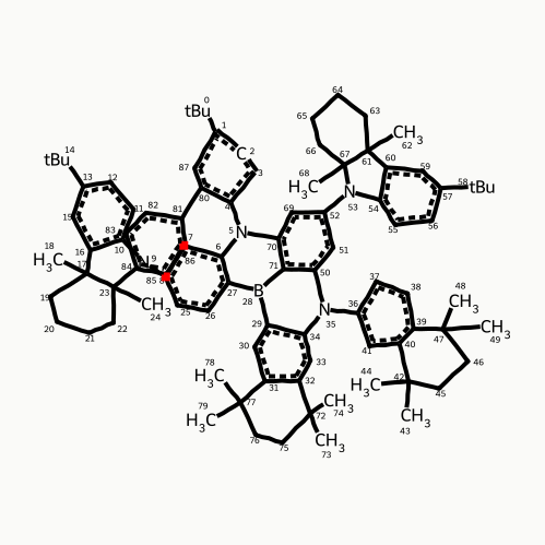 CC(C)(C)c1ccc(N2c3cc(N4c5ccc(C(C)(C)C)cc5C5(C)CCCCC45C)ccc3B3c4cc5c(cc4N(c4ccc6c(c4)C(C)(C)CCC6(C)C)c4cc(N6c7ccc(C(C)(C)C)cc7C7(C)CCCCC67C)cc2c43)C(C)(C)CCC5(C)C)c(-c2ccccc2)c1